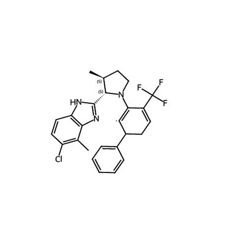 Cc1c(Cl)ccc2[nH]c([C@@H]3[C@@H](C)CCN3C3=[C]C(c4ccccc4)CC=C3C(F)(F)F)nc12